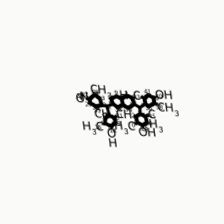 Cc1cc(C(c2ccc3ccc(C(c4cc(C)c(O)cc4C)c4cc(C)c(N=O)cc4C)cc3c2)c2cc(C)c(O)cc2C)c(C)cc1O